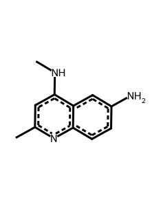 CNc1cc(C)nc2ccc(N)cc12